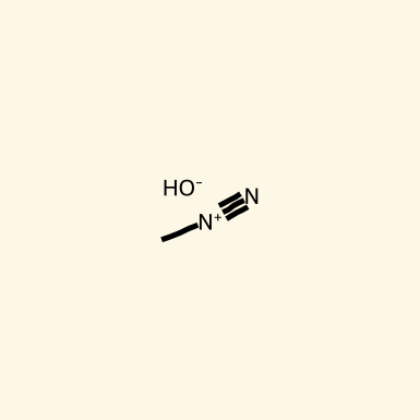 C[N+]#N.[OH-]